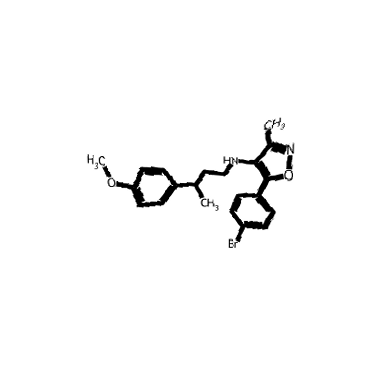 COc1ccc(C(C)CCNc2c(C)noc2-c2ccc(Br)cc2)cc1